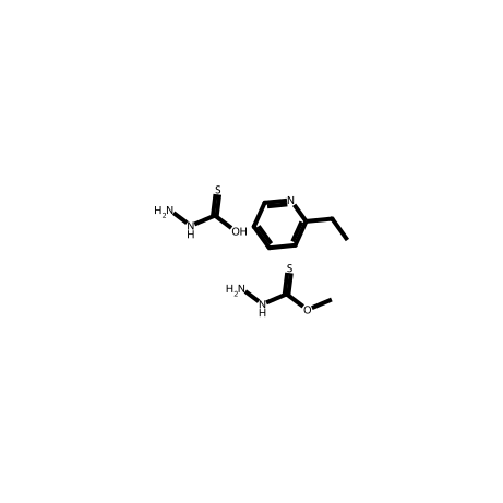 CCc1ccccn1.COC(=S)NN.NNC(O)=S